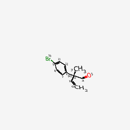 C=C[C@@](C)(C=O)c1ccc(Br)cc1